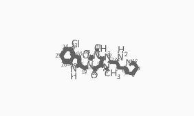 Cn1c([C@H](N)Cc2ccccn2)nc2c1c(=O)n(Cc1cc3c(Cl)cccc3[nH]1)c(=O)n2C